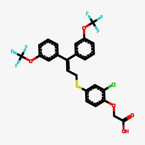 O=C(O)COc1ccc(SCC=C(c2cccc(OC(F)(F)F)c2)c2cccc(OC(F)(F)F)c2)cc1Cl